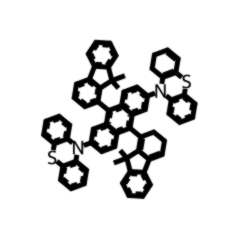 CC1(C)C2=C(c3c4cc(N5C6=C(C=CCC6)Sc6ccccc65)ccc4c(-c4cccc5c4C(C)(C)c4ccccc4-5)c4cc(N5c6ccccc6Sc6ccccc65)ccc34)CCC=C2c2ccccc21